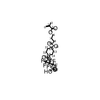 C=C(C)C(=O)OCCCS(=O)(=O)N1CCN(S(=O)(=O)C(F)(F)C(F)(F)C(F)(F)S(=O)(=O)O)CC1